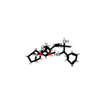 CC(C)(O)C(NCCC(=O)N1CC2CCC(C1)N2c1ccc(C#N)cn1)c1ccccc1